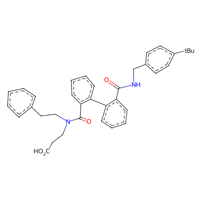 CC(C)(C)c1ccc(CNC(=O)c2ccccc2-c2ccccc2C(=O)N(CCC(=O)O)CCc2ccccc2)cc1